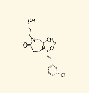 CC1CN(CCCO)C(=O)CCN1C(=O)C=Cc1cccc(Cl)c1